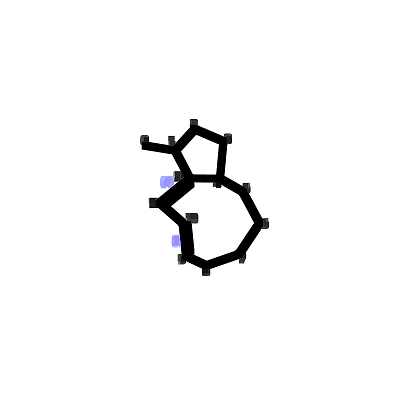 CC1CCC2CCCC/C=C/C=C/12